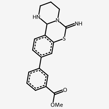 COC(=O)c1cccc(-c2ccc3c(c2)SC(=N)N2CCCNC32)c1